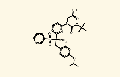 CC(C)(C)OC(=O)N(CC(=O)O)c1cccc(C(N)(Cc2ccc(OC(F)F)cc2)S(=O)(=O)c2cccnc2)n1